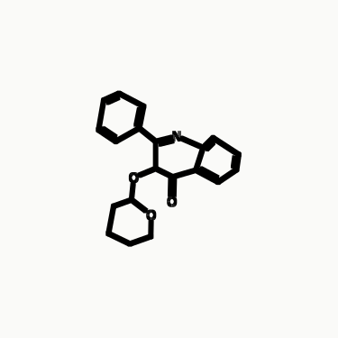 O=C1c2ccccc2N=C(c2ccccc2)C1OC1CCCCO1